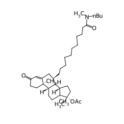 CCCCN(C)C(=O)CCCCCCCCCC[C@@H]1CC2=CC(=O)CC[C@]2(C)[C@H]2CC[C@@]3(C)[C@@H](CC[C@]3(C)OC(C)=O)[C@H]12